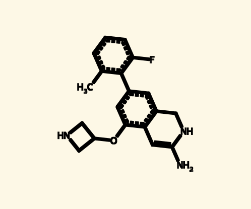 Cc1cccc(F)c1-c1cc2c(c(OC3CNC3)c1)C=C(N)NC2